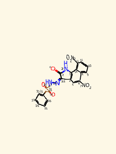 O=C1Nc2c(cc([N+](=O)[O-])c3cccc([N+](=O)[O-])c23)C1=NNS(=O)(=O)c1ccccc1